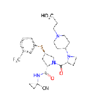 N#CC1(NC(=O)[C@@H]2C[C@@H](Sc3cccc(C(F)(F)F)c3)CN2C(=O)C2CCN2C2CCN(CCC(=O)O)CC2)CC1